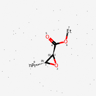 CCC[C@H]1O[C@@H]1C(=O)OCC